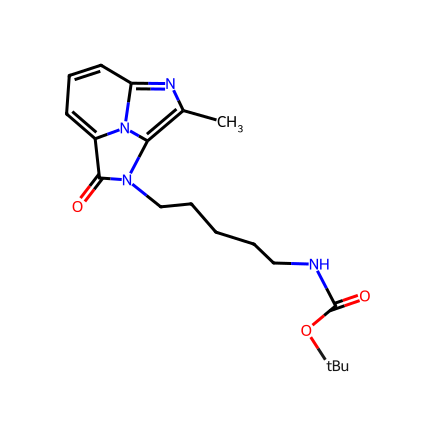 Cc1nc2cccc3c(=O)n(CCCCCNC(=O)OC(C)(C)C)c1n23